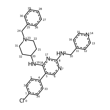 Clc1ccc(-c2cnc(NCc3ccncc3)nc2NC2CCN(Cc3ccccc3)CC2)cc1